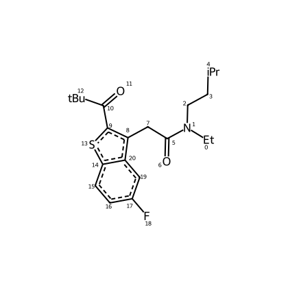 CCN(CCC(C)C)C(=O)Cc1c(C(=O)C(C)(C)C)sc2ccc(F)cc12